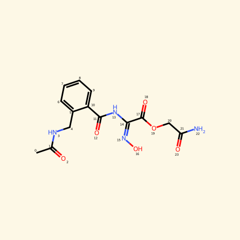 CC(=O)NCc1ccccc1C(=O)NC(=NO)C(=O)OCC(N)=O